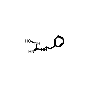 N=C(NO)NCCc1ccccc1